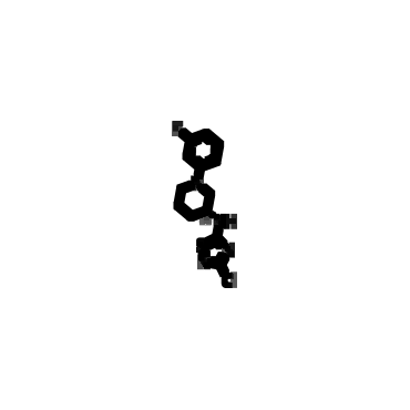 Fc1cccc(N2CCC[C@@H](Nc3nc(Cl)ns3)C2)c1